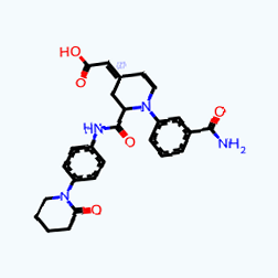 NC(=O)c1cccc(N2CC/C(=C/C(=O)O)CC2C(=O)Nc2ccc(N3CCCCC3=O)cc2)c1